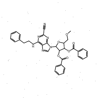 COCC1OC(n2cnc3c(NCCc4ccccc4)nc(C#N)nc32)C(OC(=O)c2ccccc2)C1OC(=O)c1ccccc1